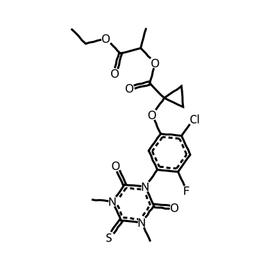 CCOC(=O)C(C)OC(=O)C1(Oc2cc(-n3c(=O)n(C)c(=S)n(C)c3=O)c(F)cc2Cl)CC1